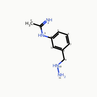 CC(=N)Nc1cccc(CNN)c1